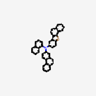 c1ccc2c(N(c3ccc4c(ccc5ccccc54)c3)c3ccc4sc5c6ccccc6ccc5c4c3)cccc2c1